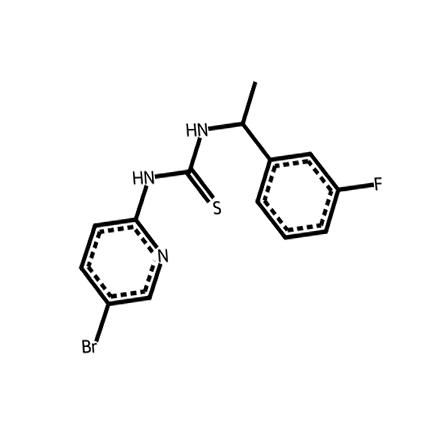 CC(NC(=S)Nc1ccc(Br)cn1)c1cccc(F)c1